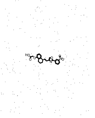 O=C(O)COc1cccc2c1CCCC2C=Cc1coc(-c2cccc([N+](=O)[O-])c2)n1